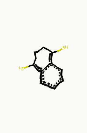 SC1=c2ccccc2=C(S)CC1